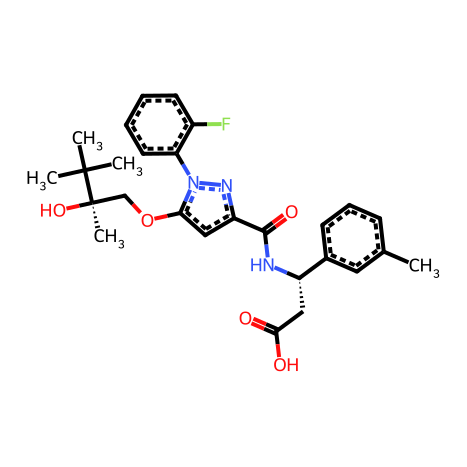 Cc1cccc([C@H](CC(=O)O)NC(=O)c2cc(OC[C@@](C)(O)C(C)(C)C)n(-c3ccccc3F)n2)c1